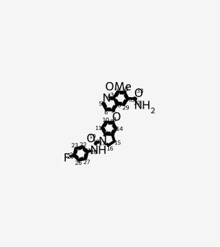 COc1cc2nccc(Oc3ccc4c(c3)CCN4C(=O)Nc3ccc(F)cc3)c2cc1C(N)=O